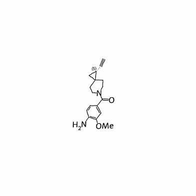 C#C[C@H]1CC12CCN(C(=O)c1ccc(N)c(OC)c1)CC2